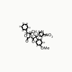 COc1ccc(C(C)(C(=O)N2C(=O)OC(c3ccccc3)C2C)n2cnc([N+](=O)[O-])c2)cc1